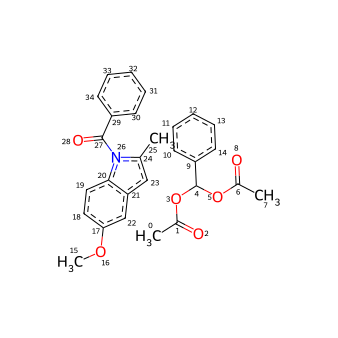 CC(=O)OC(OC(C)=O)c1ccccc1.COc1ccc2c(c1)cc(C)n2C(=O)c1ccccc1